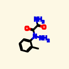 Cc1ccccc1N(N)C(=O)C(N)=O